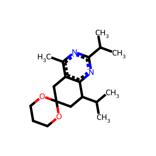 Cc1nc(C(C)C)nc2c1CC1(CC2C(C)C)OCCCO1